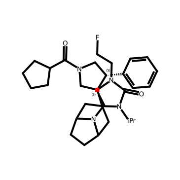 CC(C)N1C(=O)N(CCF)CC12CC1CCC(C2)N1C[C@H]1CN(C(=O)C2CCCC2)C[C@@H]1c1ccccc1